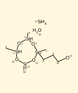 C[SiH]1O[SiH](C)O[Si](C)(CCCCl)O[SiH](C)O1.O.[SiH4]